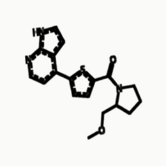 COCC1CCCN1C(=O)c1ccc(-c2ccnc3[nH]ccc23)s1